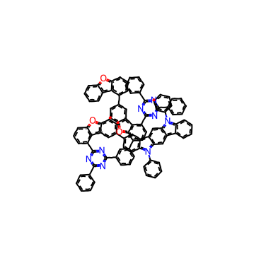 c1ccc(-c2nc(-c3cccc(-c4ccc(-c5nc(-c6ccccc6)nc(-c6ccccc6)n5)c5c4oc4ccc(-c6cccc7oc8ccccc8c67)cc45)c3)nc(-c3cccc4oc5ccc(-c6ccc7c(c6)c6cc8c(cc6n7-c6ccccc6)c6ccccc6n8-c6ccccc6)cc5c34)n2)cc1